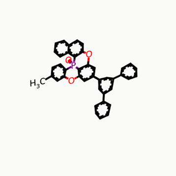 Cc1ccc2c(c1)Oc1cc(-c3cc(-c4ccccc4)cc(-c4ccccc4)c3)cc3c1P2(=O)c1c(ccc2ccccc12)O3